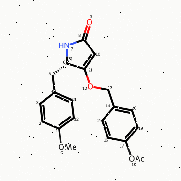 COc1ccc(C[C@@H]2NC(=O)C=C2OCc2ccc(OC(C)=O)cc2)cc1